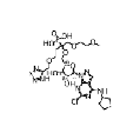 COCCOC[C@](CCOCc1nnn[nH]1)(OC[C@H]1O[C@@H](n2ncc3c(NC4CCCC4)nc(Cl)nc32)[C@H](O)[C@@H]1O)P(=O)(O)O